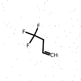 [CH]=CCC(F)(F)F